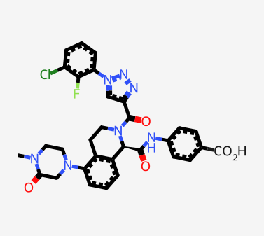 CN1CCN(c2cccc3c2CCN(C(=O)c2cn(-c4cccc(Cl)c4F)nn2)[C@H]3C(=O)Nc2ccc(C(=O)O)cc2)CC1=O